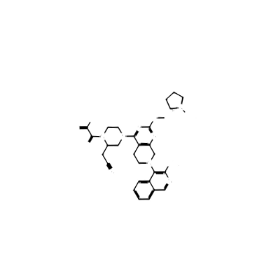 C=C(F)C(=O)N1CCN(c2nc(OC[C@@H]3CCCN3C)nc3c2CCN(c2c(C)ncc4ccccc24)C3)CC1CC#N